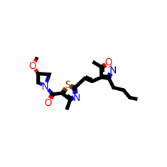 CCCCc1noc(C)c1C=Cc1nc(C)c(C(=O)N2CC(OC)C2)s1